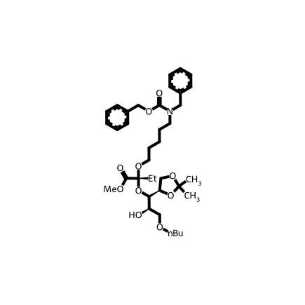 CCCCOC[C@@H](O)C(O[C@@](CC)(OCCCCCN(Cc1ccccc1)C(=O)OCc1ccccc1)C(=O)OC)[C@H]1COC(C)(C)O1